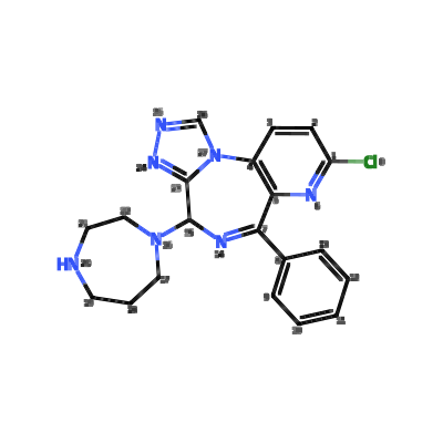 Clc1ccc2c(n1)C(c1ccccc1)=NC(N1CCCNCC1)c1nncn1-2